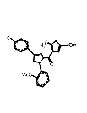 COc1ccccc1C1CC(c2ccc(Cl)cc2)=CC1C(=O)C1=C(C)CC(O)=C1